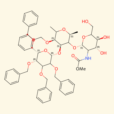 COC(=O)NC1[C@H](OC2[C@H](C)OC(C)[C@H](OCc3ccccc3)[C@@H]2O[C@H]2O[C@@H](COCc3ccccc3)[C@@H](OCc3ccccc3)C(OCc3ccccc3)C2OCc2ccccc2)OC(CO)[C@@H](O)[C@@H]1O